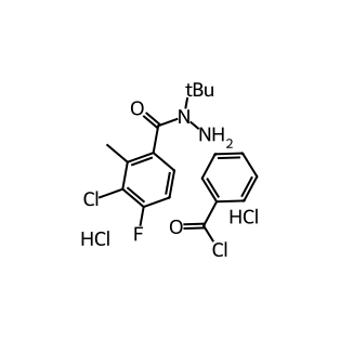 Cc1c(C(=O)N(N)C(C)(C)C)ccc(F)c1Cl.Cl.Cl.O=C(Cl)c1ccccc1